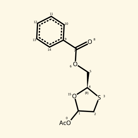 CC(=O)OC1CS[C@H](COC(=O)c2ccccc2)O1